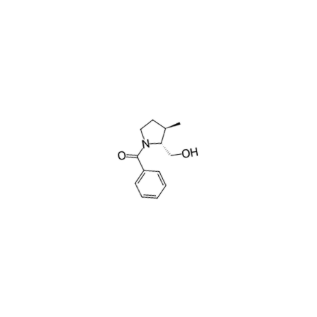 C[C@@H]1CCN(C(=O)c2ccccc2)[C@H]1CO